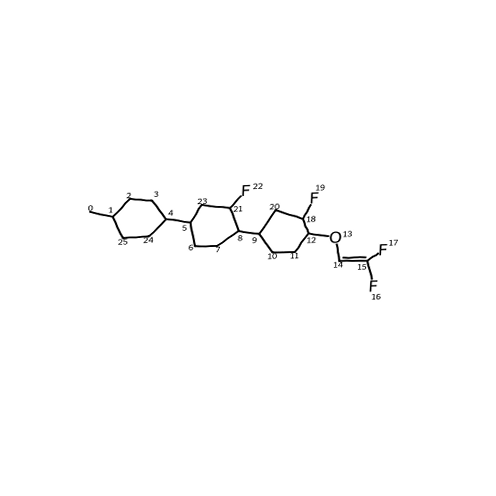 CC1CCC(C2CCC(C3CCC(OC=C(F)F)C(F)C3)C(F)C2)CC1